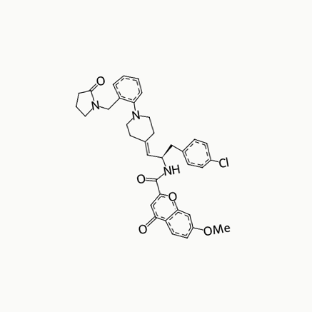 COc1ccc2c(=O)cc(C(=O)N[C@@H](C=C3CCN(c4ccccc4CN4CCCC4=O)CC3)Cc3ccc(Cl)cc3)oc2c1